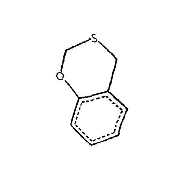 c1ccc2c(c1)CSCO2